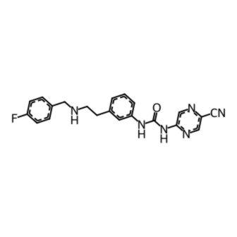 N#Cc1cnc(NC(=O)Nc2cccc(CCNCc3ccc(F)cc3)c2)cn1